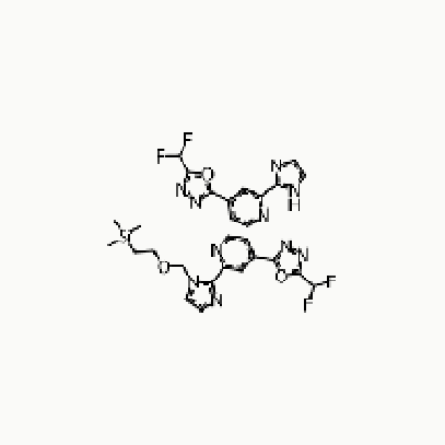 C[Si](C)(C)CCOCn1ccnc1-c1cc(-c2nnc(C(F)F)o2)ccn1.FC(F)c1nnc(-c2ccnc(-c3ncc[nH]3)c2)o1